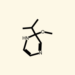 COC1(C(C)C)C=NC=CN1